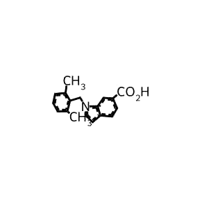 Cc1cccc(C)c1Cn1ccc2ccc(C(=O)O)cc21